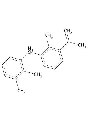 C=C(C)c1cccc([SiH2]c2cccc(C)c2C)c1N